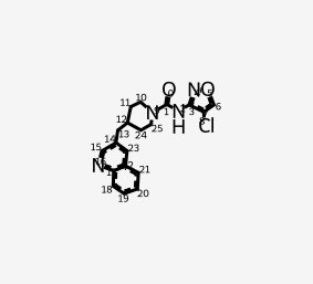 O=C(Nc1nocc1Cl)N1CCC(Cc2cnc3ccccc3c2)CC1